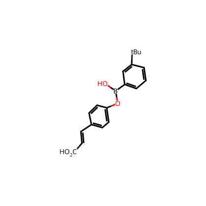 CC(C)(C)c1cccc(B(O)Oc2ccc(/C=C/C(=O)O)cc2)c1